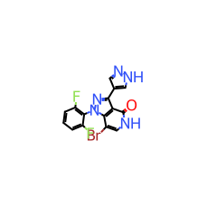 O=c1[nH]cc(Br)c2c1c(-c1cn[nH]c1)nn2-c1c(F)cccc1F